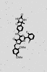 COc1ccc(CN2Cc3nc(-c4c(F)cccc4F)nc(Nc4ccc(C5(C)NC(=O)NC5=O)cc4)c3C2=O)c(OC)c1